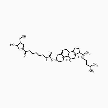 CC(C)CCC[C@H](C)C1CCC2C3CC=C4C[C@@H](OC(=O)NCCCCCC(=O)N5CC(O)C(CO)C5)CC[C@]4(C)C3CC[C@@]21C